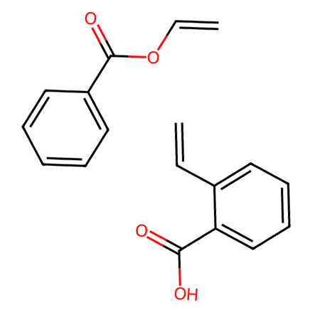 C=COC(=O)c1ccccc1.C=Cc1ccccc1C(=O)O